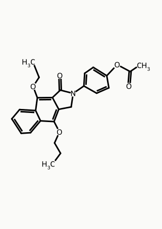 CCCOc1c2c(c(OCC)c3ccccc13)C(=O)N(c1ccc(OC(C)=O)cc1)C2